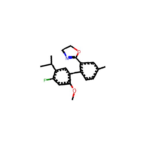 COc1cc(F)c(C(C)C)cc1-c1ccc(C)cc1C1=NCCO1